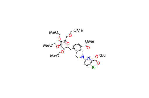 COCOC[C@H]1OC(Cc2ccc(C(=O)OC)c3c2CCN(c2ccc(Br)c(C(=O)OC(C)(C)C)n2)C3)[C@H](OCOC)[C@@H](OCOC)[C@@H]1OCOC